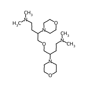 CN(C)CCC(COCC(CCN(C)C)N1CCOCC1)N1CCOCC1